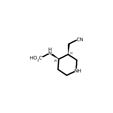 N#CC[C@H]1CNCC[C@H]1NC(=O)O